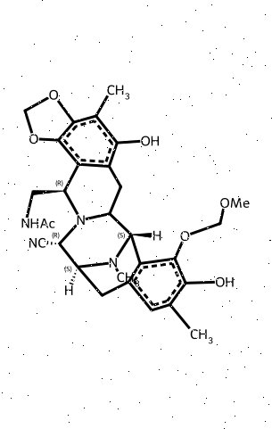 COCOc1c(O)c(C)cc2c1[C@H]1C3Cc4c(O)c(C)c5c(c4[C@H](CNC(C)=O)N3[C@@H](C#N)[C@H](C2)N1C)OCO5